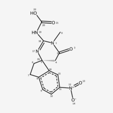 CN1C(=O)C[C@]2(CCc3ccc([N+](=O)[O-])cc32)N=C1NC(=O)O